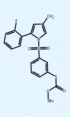 [CH2]c1cc(-c2ccccc2F)n(S(=O)(=O)c2cccc(SC(=O)OC(C)(C)C)c2)c1